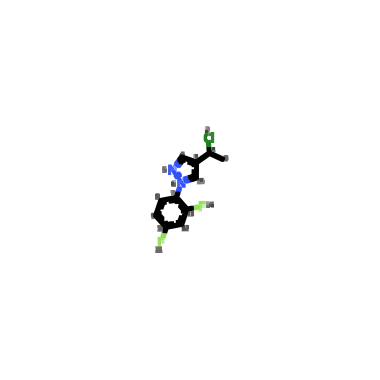 CC(Cl)c1cnn(-c2ccc(F)cc2F)c1